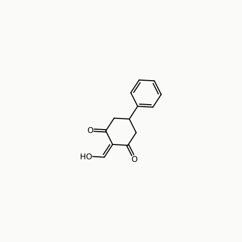 O=C1CC(c2ccccc2)CC(=O)C1=CO